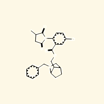 CC1CC(=O)N(c2ccc(Br)cc2C(=O)OCC2C3CCC2N(Cc2ccccc2)C3)C1=O